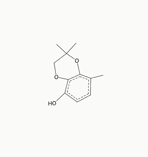 Cc1ccc(O)c2c1OC(C)(C)CO2